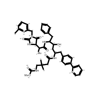 CCC(C)C(C(=O)NC(Cc1ccccc1)C(O)CC(Cc1ccc(-c2ccccn2)cc1)NC(=O)CC(C)(C)CNC(=O)OC)C1NC(=O)N(Cc2cccc(C)n2)C1=O